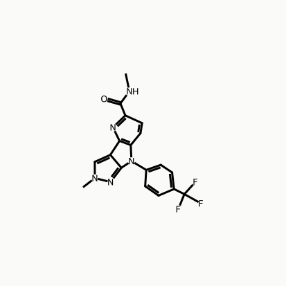 CNC(=O)c1ccc2c(n1)c1cn(C)nc1n2-c1ccc(C(F)(F)F)cc1